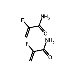 C=C(F)C(N)=O.C=C(F)C(N)=O